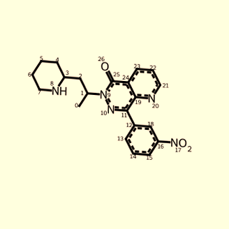 CC(CC1CCCCN1)n1nc(-c2cccc([N+](=O)[O-])c2)c2ncccc2c1=O